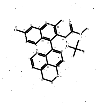 COC(=O)[C@H](OC(C)(C)C)c1c(C)cc2cc(Cl)ccc2c1-c1ccc2c3c(ccnc13)CCO2